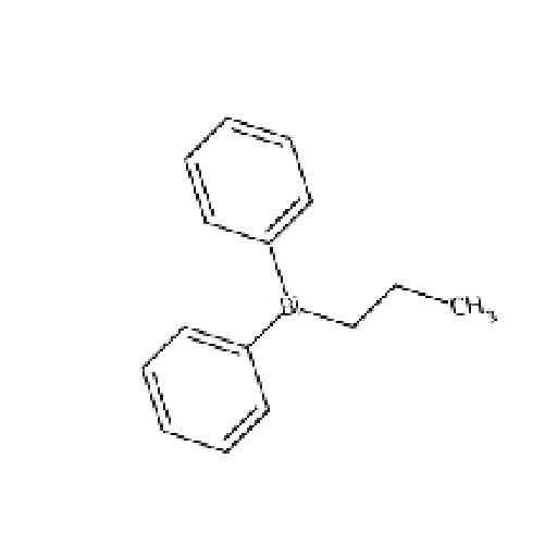 CC[CH2][Bi]([c]1ccccc1)[c]1ccccc1